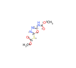 COC(=O)Nc1nnc(SC(=O)OC)o1